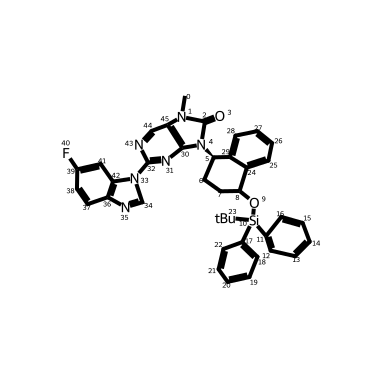 Cn1c(=O)n([C@@H]2CCC(O[Si](c3ccccc3)(c3ccccc3)C(C)(C)C)c3ccccc32)c2nc(-n3cnc4ccc(F)cc43)ncc21